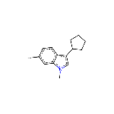 [CH2]c1ccc2c(C3CCCC3)cn(C)c2c1